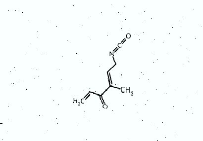 C=CC(=O)C(C)=CCN=C=O